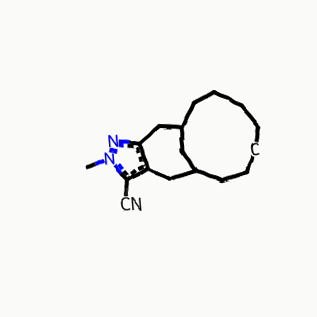 Cn1nc2c(c1C#N)CC1CCCCCCCC(C2)C1